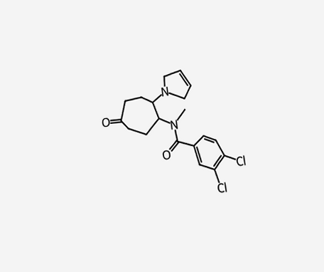 CN(C(=O)c1ccc(Cl)c(Cl)c1)C1CCC(=O)CCC1N1CC=CC1